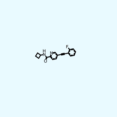 O=C(NC1CCC1)c1ccc(C#Cc2ccccc2F)cn1